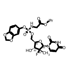 CC(C)OC(=O)CNP(=O)(OC[C@H]1O[C@@H](n2ccc(=O)[nH]c2=O)[C@](C)(F)[C@@H]1O)Oc1ccc2c(c1)OCO2